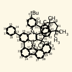 CC(C)(C)c1ccc(N2C3=C(B4c5c(cc(-c6ccccc6)cc52)-c2cccc5c6ccc7ccccc7c6n4c25)C(C)(C)c2cc4c(cc23)C(C)(C)CCC4(C)C)c(-c2ccccc2)c1